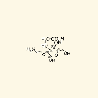 CC(=O)O.NCCO[C@@H]1[C@@H](O)[C@@H](O)[C@@H](CO)O[C@H]1O